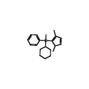 CC1=C([Si](C)(c2ccccc2)C2CCCCC2)C(C)C=C1